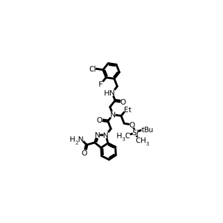 CCC(CO[Si](C)(C)C(C)(C)C)N(CC(=O)NCc1cccc(Cl)c1F)C(=O)Cn1nc(C(N)=O)c2ccccc21